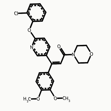 COc1ccc(C(=CC(=O)N2CCOCC2)c2ccc(Oc3ccccc3Cl)nc2)cc1OC